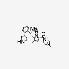 Cc1cc(C(=O)N2CCN(C)CC2)[nH]c1CC1C(=O)Nc2cccc(C3CCNCC3)c21